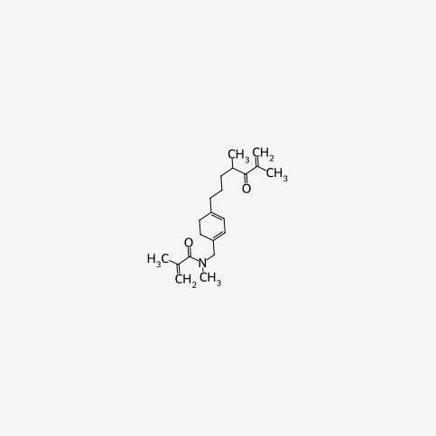 C=C(C)C(=O)C(C)CCCC1=CC=C(CN(C)C(=O)C(=C)C)CC1